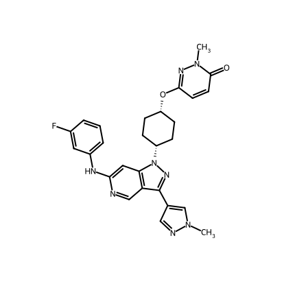 Cn1cc(-c2nn([C@H]3CC[C@@H](Oc4ccc(=O)n(C)n4)CC3)c3cc(Nc4cccc(F)c4)ncc23)cn1